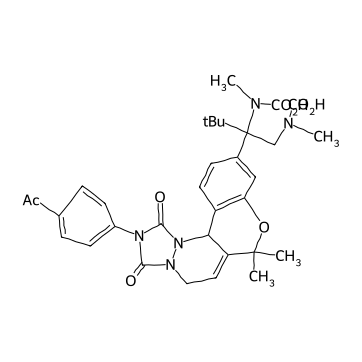 CC(=O)c1ccc(-n2c(=O)n3n(c2=O)C2C(=CC3)C(C)(C)Oc3cc(C(CN(C)C(=O)O)(N(C)C(=O)O)C(C)(C)C)ccc32)cc1